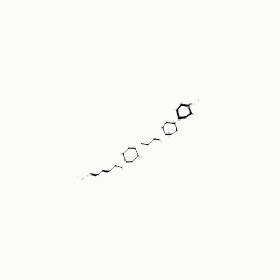 N#C/C=C/C=C/CC[C@H]1CC[C@H](CCCC[C@H]2CC[C@H](c3ccc(C#N)cc3)CC2)CC1